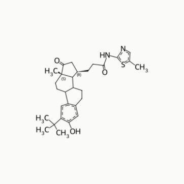 Cc1cnc(NC(=O)CC[C@@H]2CC(=O)[C@@]3(C)CCC4c5cc(C(C)(C)C)c(O)cc5CCC4C23)s1